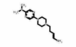 CN(C)c1cnc(N2CCN(CC/C=C/N)CC2)cn1